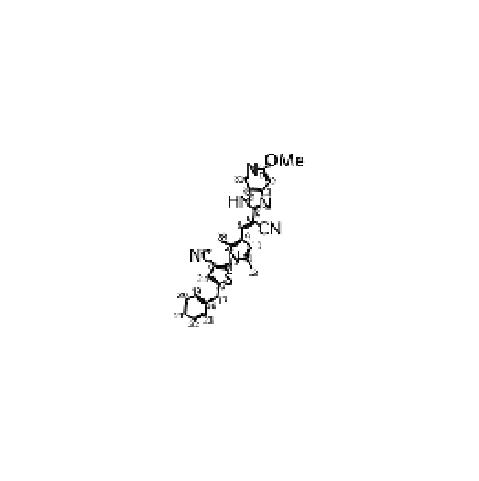 COc1cc2nc(/C(C#N)=C/c3cc(C)n(-c4sc(Cc5ccccc5)cc4C#N)c3C)[nH]c2cn1